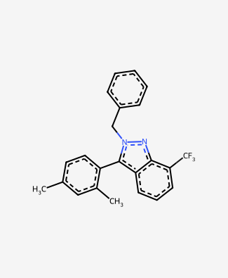 Cc1ccc(-c2c3cccc(C(F)(F)F)c3nn2Cc2ccccc2)c(C)c1